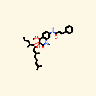 CCCC(C)COC1(OC/C=C(\C)CCC=C(C)C)C(=O)N(C)c2cc(NC(=O)/C=C/c3ccccc3)ccc2C1OC